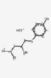 CCN(CC)CC(O)CSc1ccc(Br)cc1.Cl